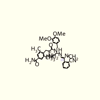 C=N/C(=C\NC(C)N(Cc1ccc(OC)c(OC)c1)C(=O)[C@@H](N)Cc1c(C)cc(C(N)=O)cc1C)c1ccccc1C#N